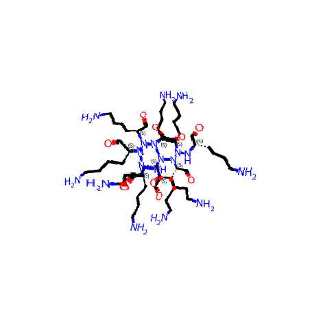 NCCCC[C@@H](C=O)NN([C@H](C=O)CCCCN)N([C@H](C=O)CCCCN)N([C@H](C=O)CCCCN)N([C@H](C=O)CCCCN)N([C@H](C=O)CCCCN)N([C@H](C=O)CCCCN)N(N[C@H](C=O)CCCCN)[C@H](C=O)CCCCN